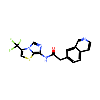 O=C(Cc1ccc2ccncc2c1)Nc1ncn2c(C(F)(F)F)csc12